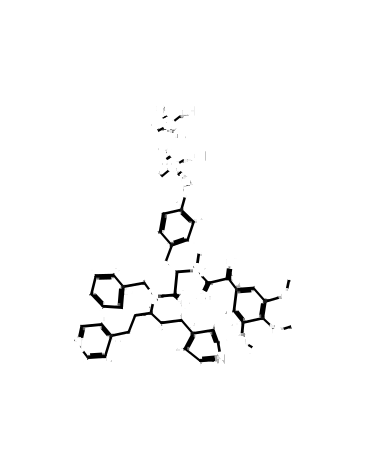 COc1cc(C(=O)C(=O)N(C)[C@@H](Cc2ccc(Cl)cc2)C(=O)N(Cc2ccccc2)C(CCc2ccncc2)CCc2ccncc2)cc(OC)c1OC.CS(=O)(=O)O.CS(=O)(=O)O